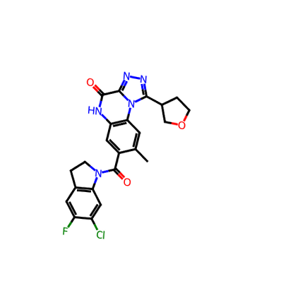 Cc1cc2c(cc1C(=O)N1CCc3cc(F)c(Cl)cc31)[nH]c(=O)c1nnc(C3CCOC3)n12